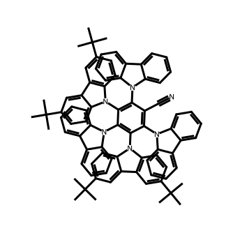 CC(C)(C)c1ccc2c(c1)c1cc(C(C)(C)C)ccc1n2-c1c(-n2c3ccccc3c3ccccc32)c(C#N)c(-n2c3ccccc3c3ccccc32)c(-n2c3ccc(C(C)(C)C)cc3c3cc(C(C)(C)C)ccc32)c1-n1c2ccccc2c2ccccc21